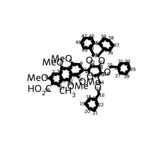 COc1cc2c(OC)c3c(OC)cc([C@@H]4O[C@H](COCc5ccccc5)[C@@H](OCc5ccccc5)[C@H](OCc5ccccc5)[C@H]4OCc4ccccc4)c(OC)c3c(OC)c2c(C)c1C(=O)O